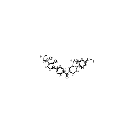 Cc1cnc(N2CCN(C(=O)c3ccc(N4CCN(S(C)(=O)=O)C4=O)nc3)CC2)c(C)c1